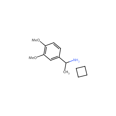 C1CCC1.COc1ccc(C(C)N)cc1OC